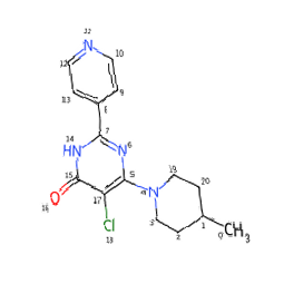 CC1CCN(c2nc(-c3ccncc3)[nH]c(=O)c2Cl)CC1